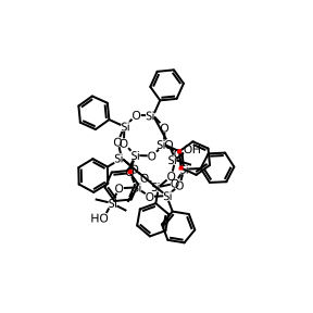 C[Si](C)(O)O[Si]1(C)O[Si]2(c3ccccc3)O[Si]3(c4ccccc4)O[Si]4(c5ccccc5)O[Si](C)(O)O[Si]5(c6ccccc6)O[Si](c6ccccc6)(O[Si](c6ccccc6)(O1)O[Si](c1ccccc1)(O5)O[Si](c1ccccc1)(O4)O2)O3